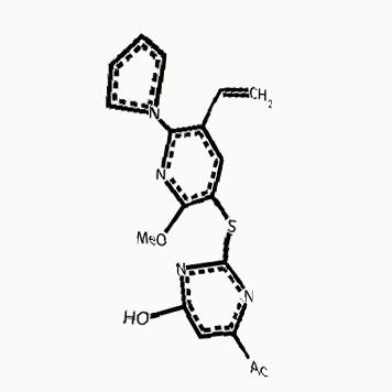 C=Cc1cc(Sc2nc(O)cc(C(C)=O)n2)c(OC)nc1-n1cccc1